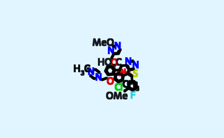 COCc1cc(-c2sc3ncnc(C(C(=O)O)C(O)c4ccccc4OCc4ccnc(OC)n4)c3c2-c2ccc(OCCN3CCN(C)CC3)c(Cl)c2C)ccc1F